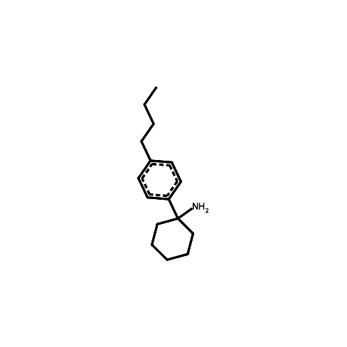 CCCCc1ccc(C2(N)CCCCC2)cc1